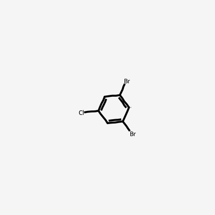 Clc1cc(Br)[c]c(Br)c1